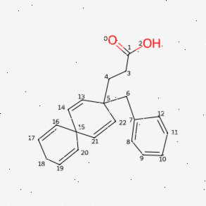 O=C(O)CCC1(Cc2ccccc2)C=CC2(C=CCC=C2)C=C1